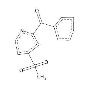 CS(=O)(=O)c1ccnc(C(=O)c2ccccc2)c1